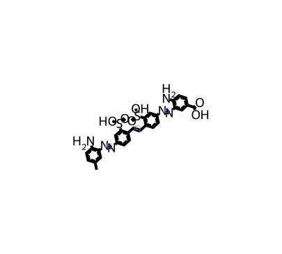 Cc1ccc(N)c(/N=N/c2ccc(/C=C/c3ccc(/N=N/c4cc(C(=O)O)ccc4N)cc3S(=O)O)c(S(=O)O)c2)c1